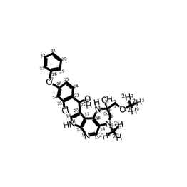 [2H]C([2H])([2H])OC[C@]1(C)CN(C([2H])([2H])[2H])c2cnc3[nH]cc(C(O)c4ccc(Oc5ccccc5)cc4Cl)c3c2N1